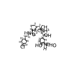 CC(C)(Cc1cccc(C(=O)NCCc2ccc(Cl)cc2)c1)NC[C@@H](O)c1ccc(O)c(NC=O)c1